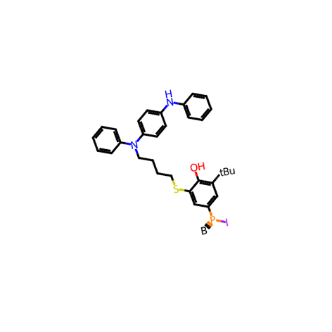 B#P(I)c1cc(SCCCCN(c2ccccc2)c2ccc(Nc3ccccc3)cc2)c(O)c(C(C)(C)C)c1